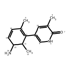 CC1=C(c2c[nH]c(=O)c(C)c2)C(C)C(N)C=C1